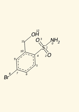 NS(=O)(=O)c1ccc(Br)cc1CO